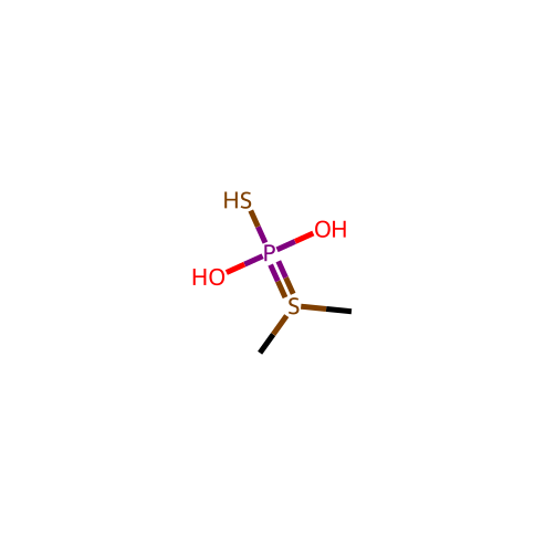 CS(C)=P(O)(O)S